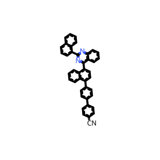 N#Cc1ccc(-c2ccc(-c3ccc(-c4nc(-c5cccc6ccccc56)nc5ccccc45)c4ccccc34)cc2)cc1